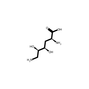 NC[C@@H](O)[C@H](O)C[C@H](N)C(=O)O